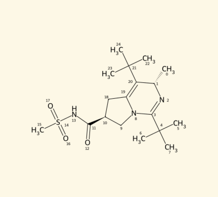 C[C@@H]1N=C(C(C)(C)C)N2C[C@@H](C(=O)NS(C)(=O)=O)CC2=C1C(C)(C)C